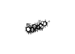 C[C@@H]1CC[C@@]2(OC1)O[C@H]1C[C@H]3[C@@H]4CC[C@@H]5CCCC(F)(F)[C@]5(C)[C@H]4CC[C@]3(C)[C@H]1[C@@H]2C